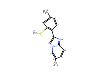 CCSc1cc(C(F)(F)F)ccc1-c1cn2cc(C(F)(F)F)ccc2n1